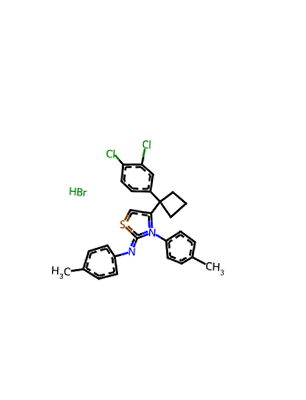 Br.Cc1ccc(N=c2scc(C3(c4ccc(Cl)c(Cl)c4)CCC3)n2-c2ccc(C)cc2)cc1